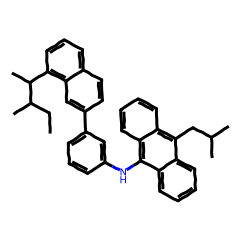 CCC(C)C(C)c1cccc2ccc(-c3cccc(Nc4c5ccccc5c(CC(C)C)c5ccccc45)c3)cc12